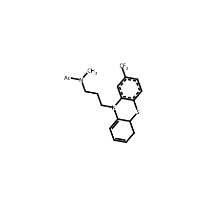 CC(=O)N(C)CCCN1C2=CC=CCC2Sc2ccc(C(F)(F)F)cc21